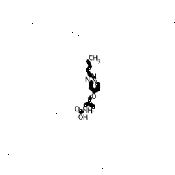 CCCCc1nc2cc(OCC(=CF)CNC(=O)O)ccn2n1